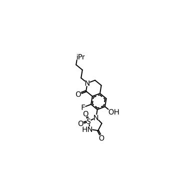 CC(C)CCCN1CCc2cc(O)c(N3CC(=O)NS3(=O)=O)c(F)c2C1=O